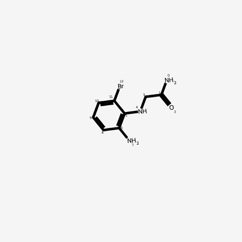 NC(=O)CNc1c(N)cccc1Br